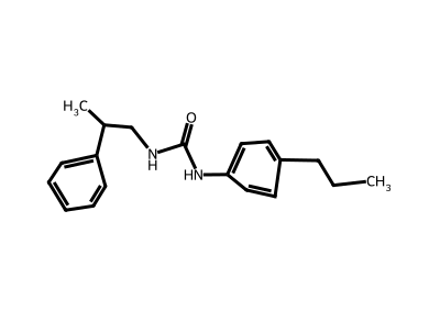 CCCc1ccc(NC(=O)NCC(C)c2ccccc2)cc1